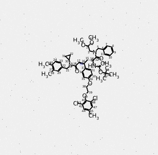 COC(CN(Cc1ccccc1)C(=O)[C@@H](C/C(=C/C(=O)N(Cc1ccc(C)c(C)c1)C1CC1)c1ccc(OCCOc2c(Cl)cc(C)cc2Cl)cc1)NC(=O)OC(C)(C)C)OC